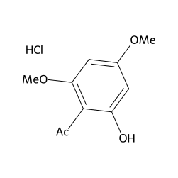 COc1cc(O)c(C(C)=O)c(OC)c1.Cl